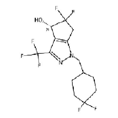 O[C@H]1c2c(C(F)(F)F)nn(CC3CCC(F)(F)CC3)c2CC1(F)F